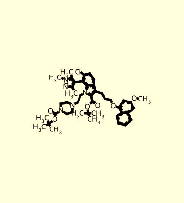 COc1cc(OCCCc2c(C(=O)OC(C)(C)C)n(CCN3CCN(C(=O)OC(C)(C)C)CC3)c3c(-c4c(C)nn(C)c4C)c(Cl)ccc23)c2ccccc2c1